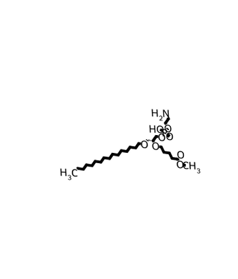 CCCCCCCCCCCCCCCCOC[C@H](COP(=O)(O)OCCN)OCCCCC(=O)OC